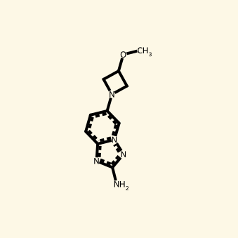 COC1CN(c2ccc3nc(N)nn3c2)C1